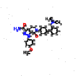 COc1ccc(-n2nc(C(N)=O)c3c2C(=O)N(c2ccc(-c4ccccc4CN(C)C)cc2)CC3)cc1